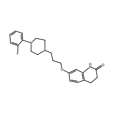 O=C1CCc2ccc(OCCCN3CCN(c4ccccc4F)CC3)cc2N1